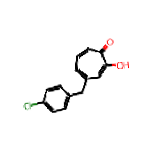 O=c1cccc(Cc2ccc(Cl)cc2)cc1O